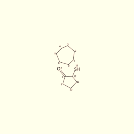 C1CCCCCC1.O=C1CCCC1S